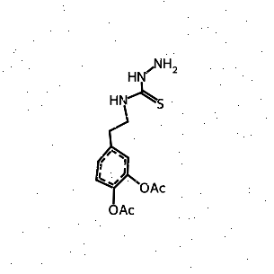 CC(=O)Oc1ccc(CCNC(=S)NN)cc1OC(C)=O